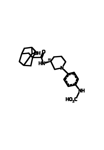 O=C(O)Nc1ccc(N2CCC[C@H](NC(=O)C34CC5CC(C3)C(O)C(C5)C4)C2)cc1